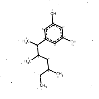 CCC(C)CC(C)C(C)c1cc(O)cc(O)c1